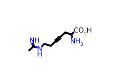 CC(=N)NCCC#CCC(N)C(=O)O